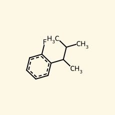 CC(C)C(C)c1ccccc1F